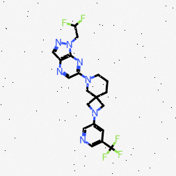 FC(F)Cn1ncc2ncc(N3CCCC4(CN(c5cncc(C(F)(F)F)c5)C4)C3)nc21